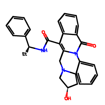 CC[C@H](NC(=O)c1c(CN2CC[C@H](O)C2)n(-c2ccccc2)c(=O)c2ccccc12)c1ccccc1